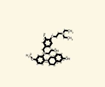 CCN(CC)CCOc1ccc(CN(CCO)c2cc(OC)ccc2[C@@H]2CCc3cc(O)ccc3C2)cc1F